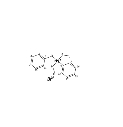 CC[N+](CC)(Cc1ccccc1)c1ccccc1.[Br-]